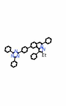 CCc1nn2c(-c3ccccc3)cc3ccc(-c4ccc(-c5nc(-c6ccccc6)nc(-c6ccccc6)n5)cc4)cc3c2c1-c1ccccc1